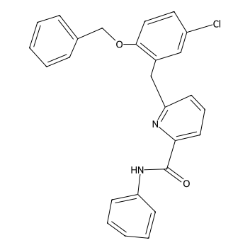 O=C(Nc1ccccc1)c1cccc(Cc2cc(Cl)ccc2OCc2ccccc2)n1